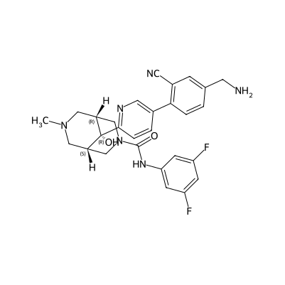 CN1C[C@@H]2CN(C(=O)Nc3cc(F)cc(F)c3)C[C@H](C1)[C@]2(O)c1ccc(-c2ccc(CN)cc2C#N)cn1